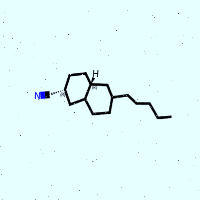 CCCCCC1CCC2C[C@H](C#N)CC[C@@H]2C1